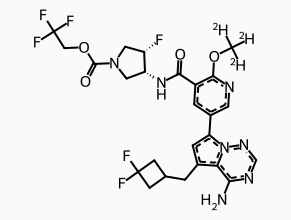 [2H]C([2H])([2H])Oc1ncc(-c2cc(CC3CC(F)(F)C3)c3c(N)ncnn23)cc1C(=O)N[C@@H]1CN(C(=O)OCC(F)(F)F)C[C@@H]1F